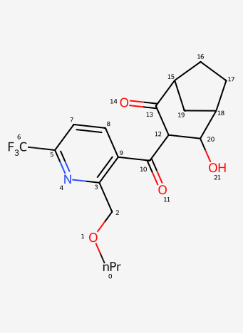 CCCOCc1nc(C(F)(F)F)ccc1C(=O)C1C(=O)C2CCC(C2)C1O